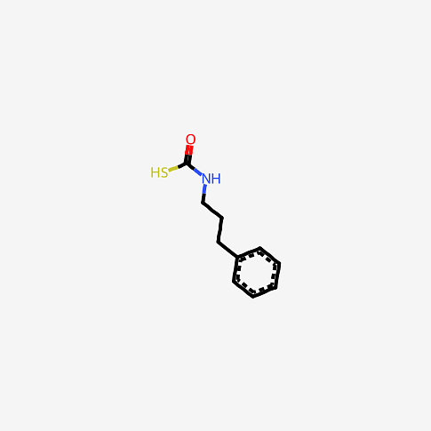 O=C(S)NCCCc1ccccc1